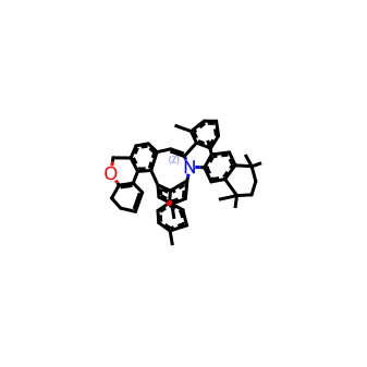 Cc1ccc(-c2c3cc(C)cc2N(c2cc4c(cc2C)C(C)(C)CCC4(C)C)/C(c2ccccc2C)=C\c2ccc4c(c2-3)C2=C(CCC=C2)OC4)cc1